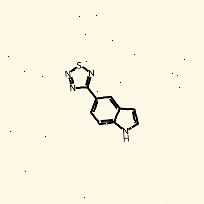 c1cc2cc(-c3nnsn3)ccc2[nH]1